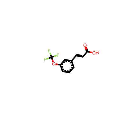 O=C(O)/C=C/c1cccc(OC(F)(F)F)c1